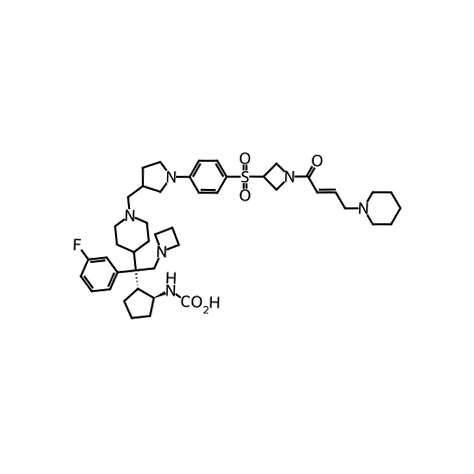 O=C(O)N[C@H]1CCC[C@@H]1C(CN1CCC1)(c1cccc(F)c1)C1CCN(CC2CCN(c3ccc(S(=O)(=O)C4CN(C(=O)/C=C/CN5CCCCC5)C4)cc3)C2)CC1